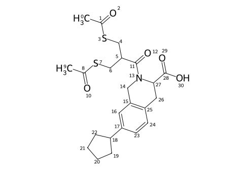 CC(=O)SCC(CSC(C)=O)C(=O)N1Cc2cc(C3CCCC3)ccc2CC1C(=O)O